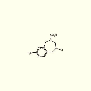 CC[C@@H]1CN(C(=O)O)Cc2nc(C(F)(F)F)ccc2O1